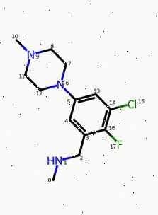 CNCc1cc(N2CCN(C)CC2)cc(Cl)c1F